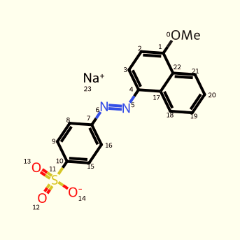 COc1ccc(N=Nc2ccc(S(=O)(=O)[O-])cc2)c2ccccc12.[Na+]